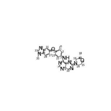 Cc1cc(Nc2ncnc3cnc(N4CCO[C@@H](C)C4)nc23)ccc1Oc1ccc2c(c1)ncn2C